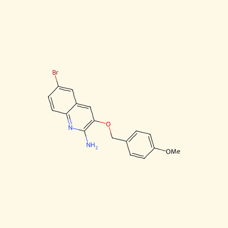 COc1ccc(COc2cc3cc(Br)ccc3nc2N)cc1